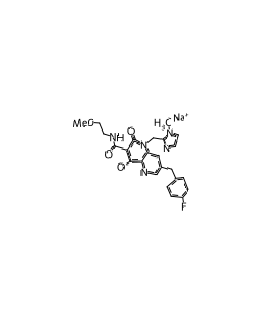 COCCNC(=O)c1c([O-])c2ncc(Cc3ccc(F)cc3)cc2n(Cc2nccn2C)c1=O.[Na+]